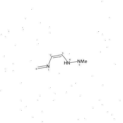 C=N/C=C\NNC